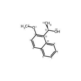 COc1ccc2ccccc2c1[C@@H](C)O